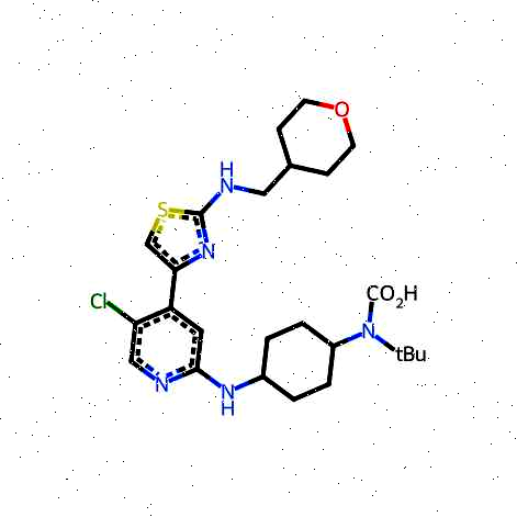 CC(C)(C)N(C(=O)O)C1CCC(Nc2cc(-c3csc(NCC4CCOCC4)n3)c(Cl)cn2)CC1